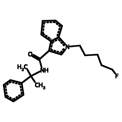 CC(C)(NC(=O)c1cn(CCCCCF)c2ccccc12)c1ccccc1